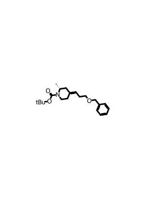 C[C@@H]1C/C(=C/CCOCc2ccccc2)CCN1C(=O)OC(C)(C)C